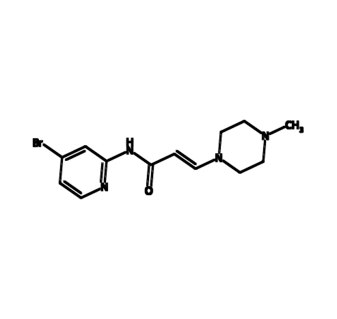 CN1CCN(C=CC(=O)Nc2cc(Br)ccn2)CC1